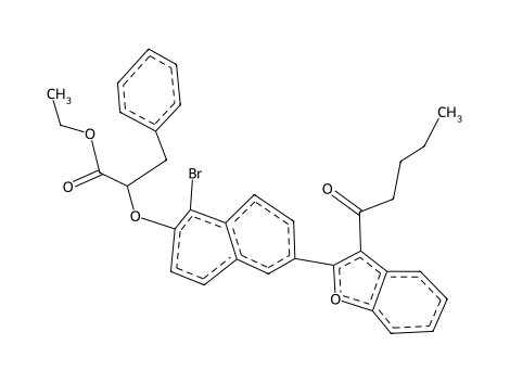 CCCCC(=O)c1c(-c2ccc3c(Br)c(OC(Cc4ccccc4)C(=O)OCC)ccc3c2)oc2ccccc12